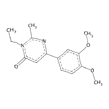 CCn1c(C)nc(-c2ccc(OC)c(OC)c2)cc1=O